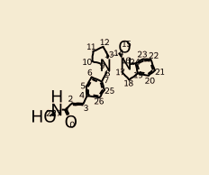 O=C(C=Cc1ccc(CN2CCC[C@@H]2C(=O)N2CCc3ccccc32)cc1)NO